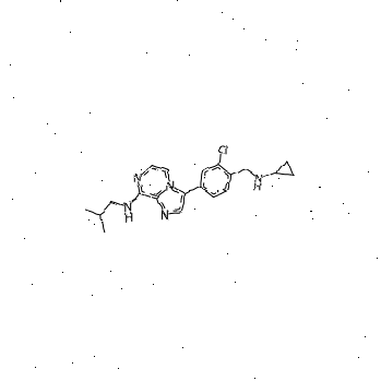 CC(C)CNc1nccn2c(-c3ccc(CNC4CC4)c(Cl)c3)cnc12